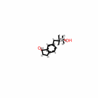 CC(C)(Cc1ccc2c(c1)C(=O)CC2)[Si](C)(C)O